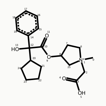 C[N+]1(CC(=O)O)CCC(OC(=O)C(O)(c2ccccc2)C2CCCC2)C1